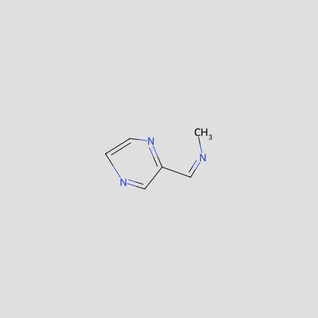 C/N=C\c1cnccn1